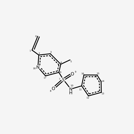 C=Cc1cc(C)c(S(=O)(=O)Nc2ccccc2)cn1